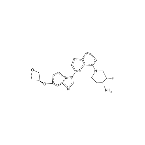 N[C@@H]1CCN(c2cccc3ccc(-c4cnc5cc(O[C@H]6CCOC6)ccn45)nc23)C[C@@H]1F